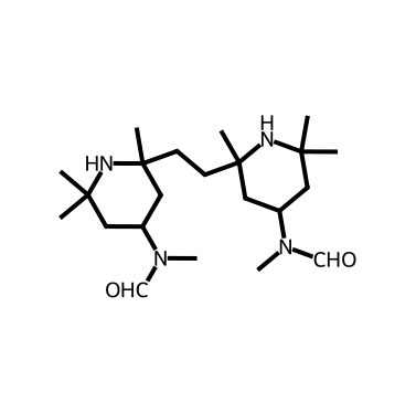 CN(C=O)C1CC(C)(C)NC(C)(CCC2(C)CC(N(C)C=O)CC(C)(C)N2)C1